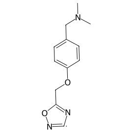 CN(C)Cc1ccc(OCc2n[c]no2)cc1